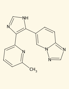 Cc1cccc(-c2nc[nH]c2-c2ccc3ncnn3c2)n1